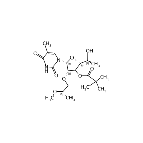 CO[C@@H](C)CO[C@H]1C(OC(=O)C(C)(C)C)[C@@H]([C@H](C)O)O[C@H]1n1cc(C)c(=O)[nH]c1=O